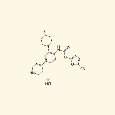 CC1CCN(c2cc(C3=CCNCC3)ccc2NC(=O)Oc2ccc(C#N)o2)CC1.Cl.Cl